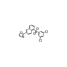 O=S(=O)(c1cc(Cl)cc(Cl)c1)c1[c]ccc2cc(-c3ncco3)ccc12